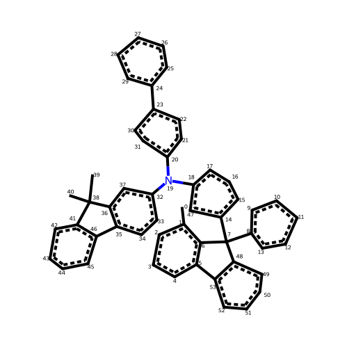 Cc1cccc2c1C(c1ccccc1)(c1cccc(N(c3ccc(-c4ccccc4)cc3)c3ccc4c(c3)C(C)(C)c3ccccc3-4)c1)c1ccccc1-2